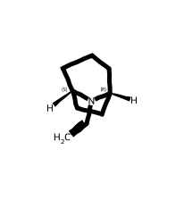 C=CN1[C@@H]2CCC[C@H]1CC2